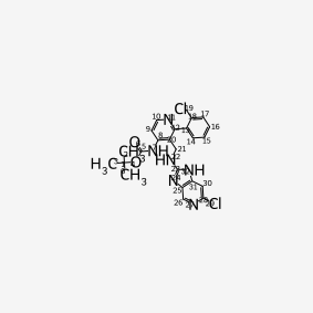 CC(C)(C)OC(=O)Nc1ccnc(-c2ccccc2Cl)c1CNc1nc2cnc(Cl)cc2[nH]1